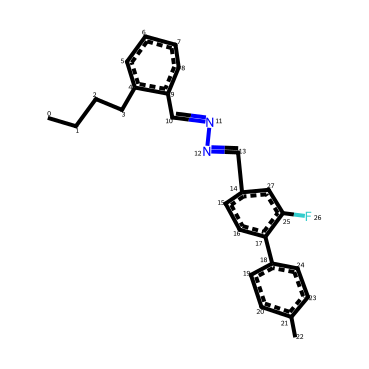 CCCCc1ccccc1C=NN=Cc1ccc(-c2ccc(C)cc2)c(F)c1